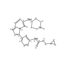 CN1CCC(Nc2ccc3ncc(-c4cccc(NC(=O)OCC5CC5)c4)n3n2)CC1